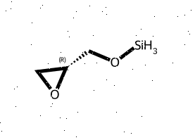 [SiH3]OC[C@H]1CO1